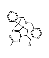 CC(=O)ON1C(=O)[C@@](N(Cc2ccccc2)Cc2ccccc2)(C(C)(C)C)C[C@H]1CO